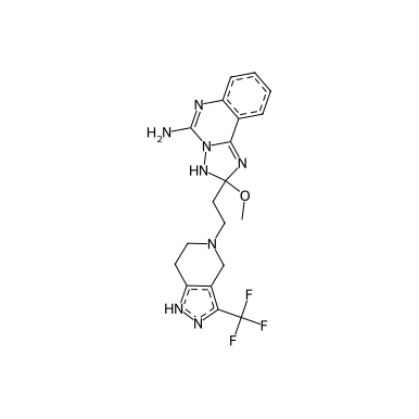 COC1(CCN2CCc3[nH]nc(C(F)(F)F)c3C2)N=C2c3ccccc3N=C(N)N2N1